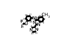 Cc1ccc2nc(-c3cnccn3)nc(Nc3cccc(OC(F)F)c3)c2c1